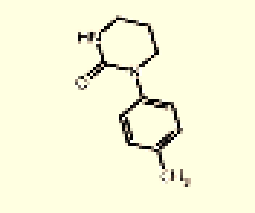 Cc1ccc(N2CCCNC2=O)cc1